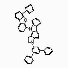 c1ccc(-c2cc(-c3ccccc3)cc(-n3ccc4c3ccc3c5ccccc5n(-c5cccc6c5oc5c(-c7ccccc7)cccc56)c34)c2)cc1